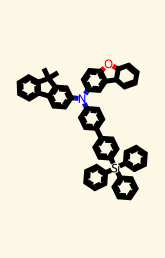 CC1(C)c2ccccc2-c2ccc(N(c3ccc(-c4ccc([Si](c5ccccc5)(c5ccccc5)c5ccccc5)cc4)cc3)c3ccc4c(c3)C3C=CC=CC3O4)cc21